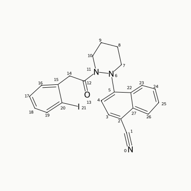 N#Cc1ccc(N2CCCCN2C(=O)Cc2ccccc2I)c2ccccc12